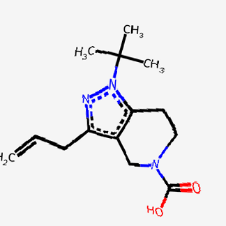 C=CCc1nn(C(C)(C)C)c2c1CN(C(=O)O)CC2